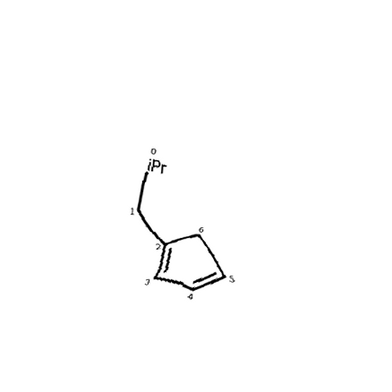 CC(C)CC1=CC=CC1